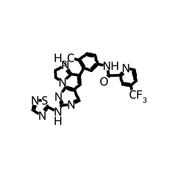 Cc1ccc(NC(=O)c2cc(C(F)(F)F)ccn2)cc1C1=Cc2cnc(Nc3ncns3)nc2N2CCN=C12